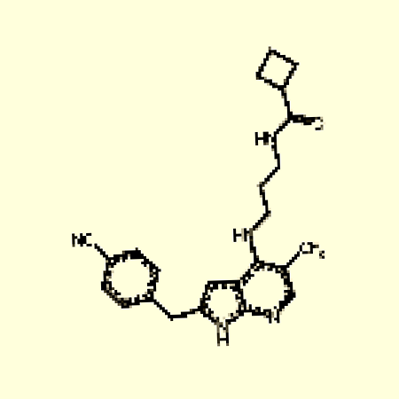 N#Cc1ccc(Cc2cc3c(NCCCNC(=O)C4CCC4)c(C(F)(F)F)cnc3[nH]2)cc1